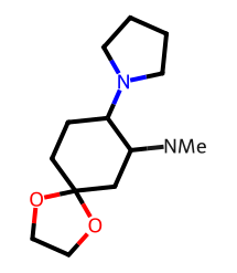 CNC1CC2(CCC1N1CCCC1)OCCO2